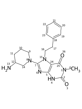 Cn1c(=O)[nH]c2nc(N3CCCC(N)C3)n(CCc3ccccc3)c2c1=O